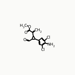 C=C(C(=O)OC)C1C(C=O)C1c1cc(Cl)c(N)c(Cl)c1